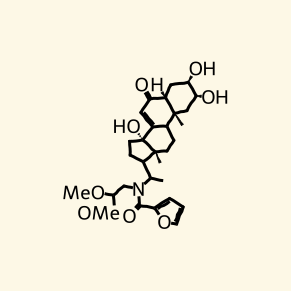 COC(CN(C(=O)c1ccco1)C(C)C1CC[C@@]2(O)C3=CC(=O)[C@@H]4C[C@@H](O)[C@@H](O)C[C@]4(C)C3CC[C@]12C)OC